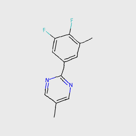 Cc1cnc(-c2cc(C)c(F)c(F)c2)nc1